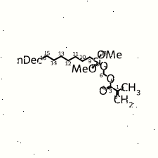 C=C(C)C(=O)OCO[Si](CCCCCCCCCCCCCCCCC)(OC)OC